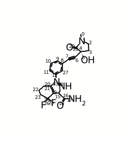 CN1CC[C@@](O)(C#Cc2cccc(N3NC(C(N)=O)C4=C3CCCC4(F)F)c2)C1=O